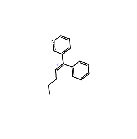 CCC/C=C(\c1ccccc1)c1cccnc1